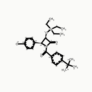 CC[Si](CC)(CC)O[C@H]1C(=O)N(C(=O)c2ccc(C(C)(C)C)cc2)[C@H]1c1ccc(Cl)cc1